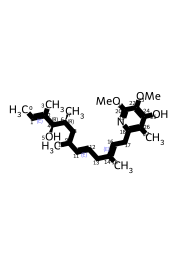 C/C=C(\C)[C@H](O)[C@H](C)CC(C)/C=C/C/C(C)=C/Cc1nc(OC)c(OC)c(O)c1C